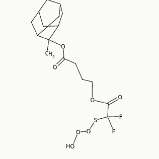 CC1(OC(=O)CCCOC(=O)C(F)(F)SOOO)C2CC3CC(C2)CC1C3